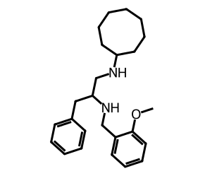 COc1ccccc1CNC(CNC1CCCCCCC1)Cc1ccccc1